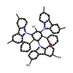 Cc1ccc2c(c1)c1cc(C)ccc1n2-c1c(C#N)c(-n2c3ccc(C)cc3c3cc(C)ccc32)c(-c2ccccc2)c(-n2c3ccc(C(C)(C)C)cc3c3cc(C(C)(C)C)ccc32)c1-c1ccccc1